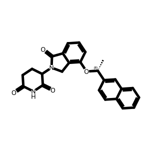 C[C@@H](Oc1cccc2c1CN(C1CCC(=O)NC1=O)C2=O)c1ccc2ccccc2c1